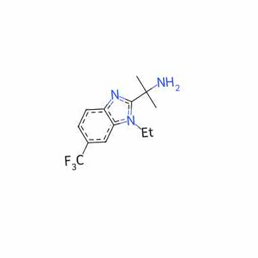 CCn1c(C(C)(C)N)nc2ccc(C(F)(F)F)cc21